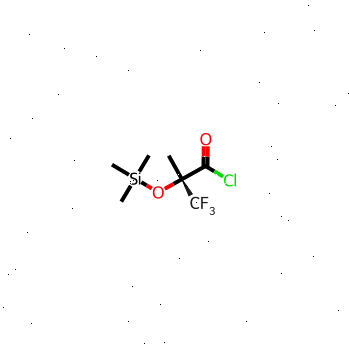 C[C@@](O[Si](C)(C)C)(C(=O)Cl)C(F)(F)F